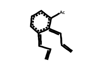 C=C/C=c1/cccc(C(C)=O)/c1=C/C=C